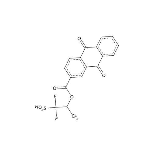 O=C(OC(C(F)(F)F)C(F)(F)S(=O)(=O)O)c1ccc2c(c1)C(=O)c1ccccc1C2=O